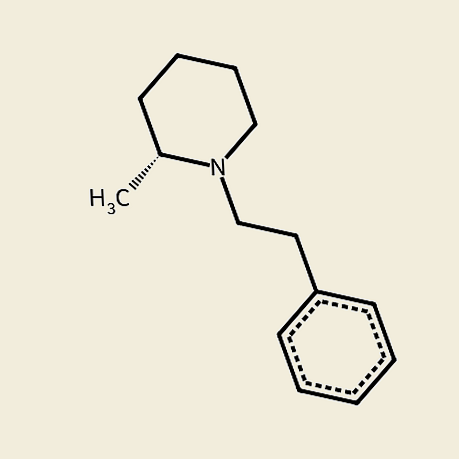 C[C@@H]1CCCCN1CCc1ccccc1